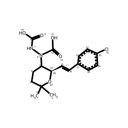 CC1(C)CCC(N(NC(=O)O)C(=O)O)[C@@H](/C=C/c2ccc(Cl)cc2)O1